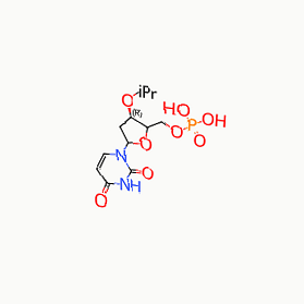 CC(C)O[C@@H]1CC(n2ccc(=O)[nH]c2=O)OC1COP(=O)(O)O